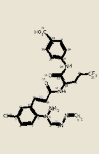 C=N/N=C\N(N)c1ccc(Cl)cc1/C=C/C(=O)NC(CCC(F)(F)F)C(=O)Nc1ccc(C(=O)O)cc1